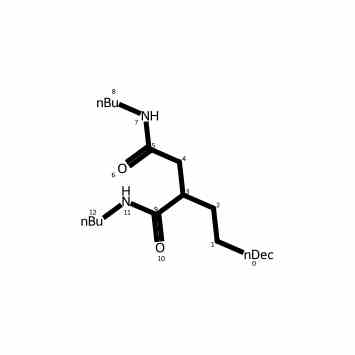 CCCCCCCCCCCCC(CC(=O)NCCCC)C(=O)NCCCC